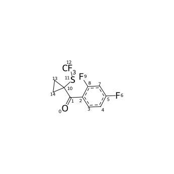 O=C(c1ccc(F)cc1F)C1(SC(F)(F)F)CC1